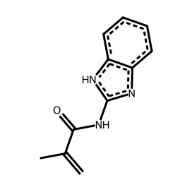 C=C(C)C(=O)Nc1nc2ccccc2[nH]1